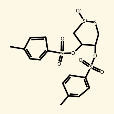 Cc1ccc(S(=O)(=O)OC2CS[S+]([O-])CC2OS(=O)(=O)c2ccc(C)cc2)cc1